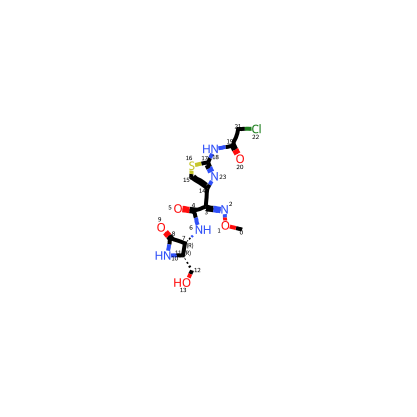 CON=C(C(=O)N[C@H]1C(=O)N[C@H]1CO)c1csc(NC(=O)CCl)n1